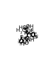 C[C@@](O)(CO)c1nc(C2=CN(c3c(F)cccc3F)C(=O)NC2)c(-c2ccc(F)cc2F)o1